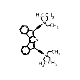 CC[Si](C#CC1=c2sc3c(c2-c2ccccc21)-c1ccccc1C=3C#C[Si](CC)(CC)CC)(CC)CC